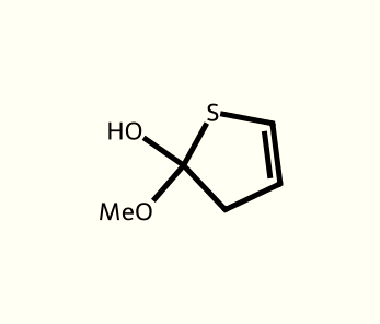 COC1(O)CC=CS1